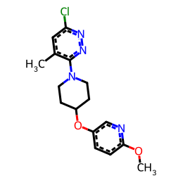 COc1ccc(OC2CCN(c3nnc(Cl)cc3C)CC2)cn1